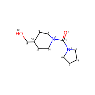 O=C(N1CCCC1)N1CCC(CO)CC1